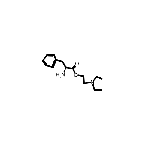 CCN(CC)CCOC(=O)[C@@H](N)Cc1ccccc1